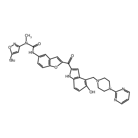 CN(C(=O)Nc1ccc2oc(C(=O)c3cc4c(CN5CCN(c6ncccn6)CC5)c(O)ccc4[nH]3)cc2c1)c1cc(C(C)(C)C)on1